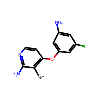 Nc1cc(Cl)cc(Oc2ccnc(N)c2N=O)c1